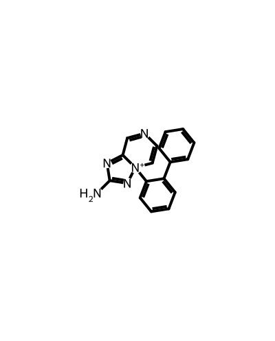 NC1=N[N+]2(c3ccccc3-c3ccccc3)C=CN=CC2=N1